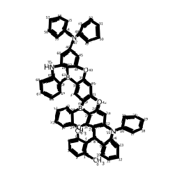 Cc1cccc(C)c1C1c2ccccc2N(c2ccccc2)c2cc3c4c(c21)Oc1ccccc1B4c1cc2c(cc1O3)Oc1cc(N(c3ccccc3)c3ccccc3)cc3c1B2c1ccccc1N3